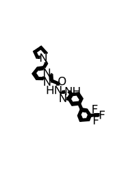 O=C(Nc1nc2cc(-c3cccc(C(F)(F)F)c3)ccc2[nH]1)c1cn2c(CN3CCCC3)cccc2n1